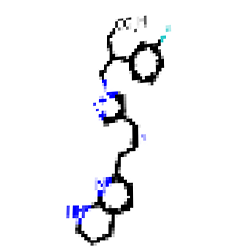 O=C(O)CC(Cn1cc(/C=C\Cc2ccc3c(n2)NCCC3)cn1)c1cccc(F)c1